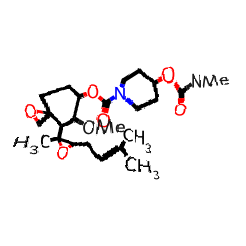 CNC(=O)OC1CCN(C(=O)OC2CCC3(CO3)C(C3(C)OC3CC=C(C)C)C2OC)CC1